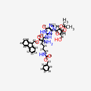 CC1(C)O[C@@H]2[C@H](O1)[C@@H](CO)O[C@H]2n1cnc2c(=O)[nH]c(NC(=O)[C@@](N)(CCCCNC(=O)OCc3ccccc3)C(=O)OCC3c4ccccc4-c4ccccc43)nc21